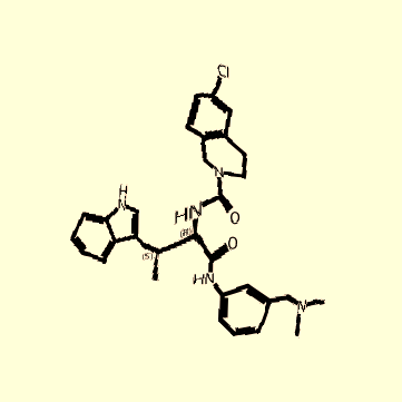 C[C@@H](c1c[nH]c2ccccc12)[C@@H](NC(=O)N1CCc2cc(Cl)ccc2C1)C(=O)Nc1cccc(CN(C)C)c1